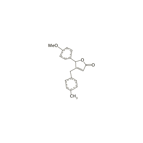 COc1ccc(C2OC(=O)C=C2Cc2ccc(C)cc2)cc1